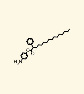 CCCCCCCCCCCCCCC(C(=O)Oc1ccc(N)cc1)c1ccccc1